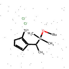 CC(C1=[C]([Ti+2])CC=C1)[Si](C)(C)OC(C)(C)C.[Cl-].[Cl-]